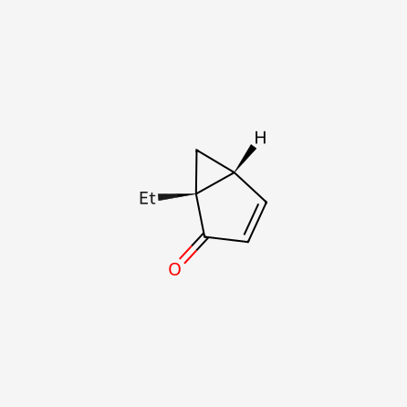 CC[C@@]12C[C@@H]1C=CC2=O